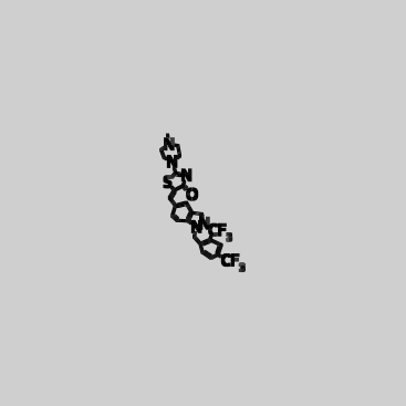 CN1CCN(C2=NC(=O)C(=Cc3ccc4c(cnn4Cc4ccc(C(F)(F)F)cc4C(F)(F)F)c3)S2)CC1